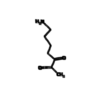 CC(=O)C(=O)CCCCN